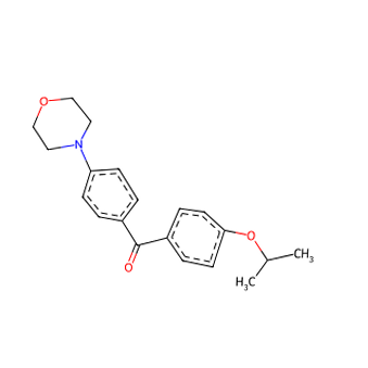 CC(C)Oc1ccc(C(=O)c2ccc(N3CCOCC3)cc2)cc1